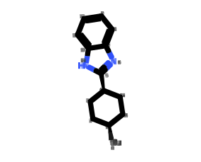 CC(C)(C)[C@H]1CC[C@@H](c2nc3ccccc3[nH]2)CC1